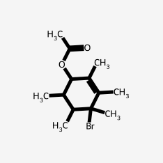 CC(=O)OC1C(C)=C(C)C(C)(Br)C(C)C1C